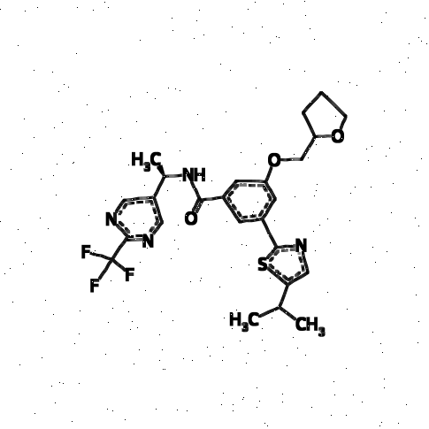 CC(C)c1cnc(-c2cc(OCC3CCCO3)cc(C(=O)N[C@H](C)c3cnc(C(F)(F)F)nc3)c2)s1